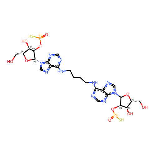 O=[PH](S)O[C@@H]1[C@H](O)[C@@H](CO)O[C@H]1n1cnc2c(NCCCCNc3ncnc4c3ncn4C3O[C@H](CO)[C@@H](O)[C@H]3O[PH](=O)S)ncnc21